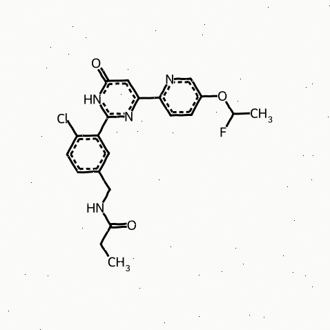 CCC(=O)NCc1ccc(Cl)c(-c2nc(-c3ccc(OC(C)F)cn3)cc(=O)[nH]2)c1